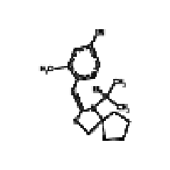 CCC(C)(C)N1/C(=N\c2ccc(C#N)cc2C)SCC12CCCC2